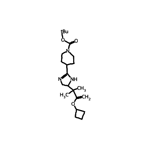 C=C(OC1CCC1)C(C)(C)C1CN=C(C2CCN(C(=O)OC(C)(C)C)CC2)N1